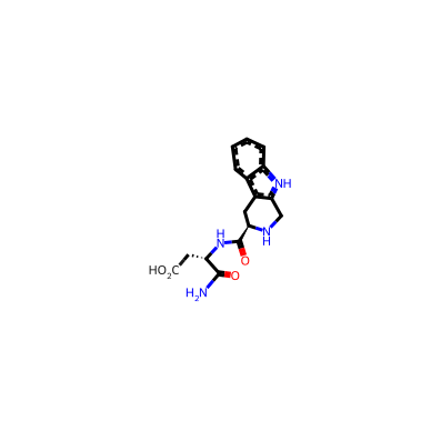 NC(=O)[C@H](CC(=O)O)NC(=O)[C@H]1Cc2c([nH]c3ccccc23)CN1